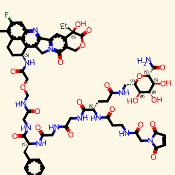 CC[C@@]1(O)C(=O)OCc2c1cc1n(c2=O)Cc2c-1nc1cc(F)c(C)c3c1c2[C@@H](NC(=O)COCNC(=O)CNC(=O)[C@H](Cc1ccccc1)NC(=O)CNC(=O)CNC(=O)[C@H](CCC(=O)NC[C@@H]1O[C@H](C(N)=O)[C@@H](O)[C@H](O)[C@H]1O)NC(=O)CCNC(=O)CN1C(=O)C=CC1=O)CC3